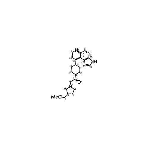 COCC1CCN(CC(=O)C2CCC(c3ccnc4cnc5[nH]ccc5c34)CC2)C1